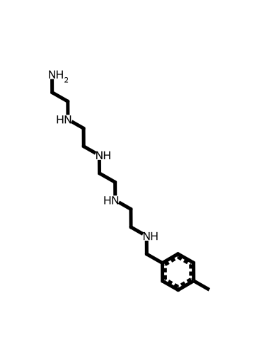 Cc1ccc(CNCCNCCNCCNCCN)cc1